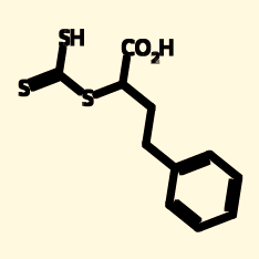 O=C(O)C(CCc1ccccc1)SC(=S)S